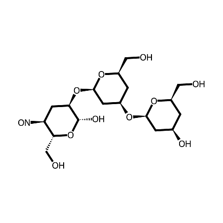 O=N[C@H]1C[C@@H](O[C@@H]2C[C@H](O[C@@H]3C[C@H](O)C[C@H](CO)O3)C[C@H](CO)O2)[C@H](O)O[C@@H]1CO